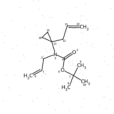 C=CCN(C(=O)OC(C)(C)C)C1(CC=C)CC1